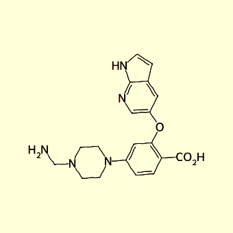 NCN1CCN(c2ccc(C(=O)O)c(Oc3cnc4[nH]ccc4c3)c2)CC1